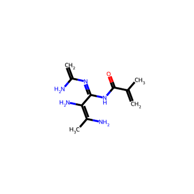 C=C(N)/N=C(NC(=O)C(=C)C)\C(N)=C(\C)N